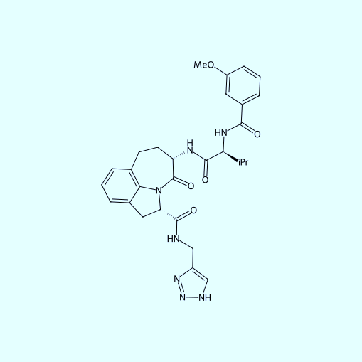 COc1cccc(C(=O)N[C@H](C(=O)N[C@H]2CCc3cccc4c3N(C2=O)[C@H](C(=O)NCc2c[nH]nn2)C4)C(C)C)c1